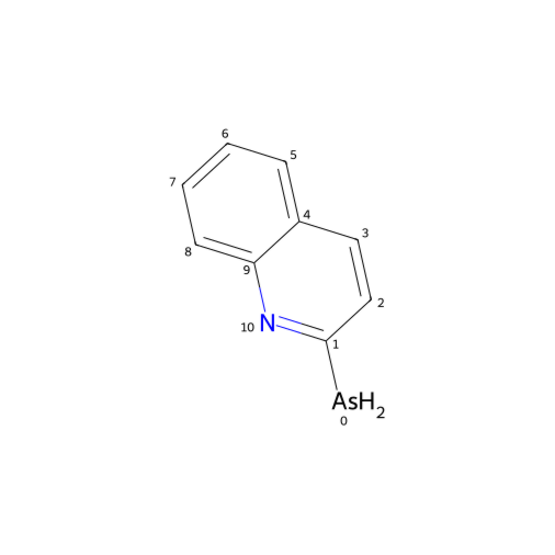 [AsH2]c1ccc2ccccc2n1